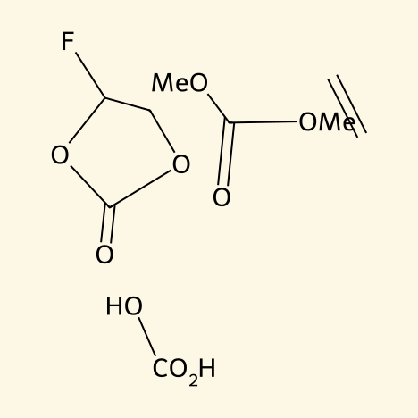 C=C.COC(=O)OC.O=C(O)O.O=C1OCC(F)O1